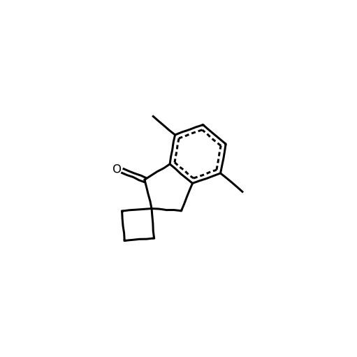 Cc1ccc(C)c2c1CC1(CCC1)C2=O